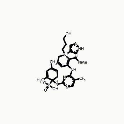 CNC(=O)C1=C(Nc2nc(NC3(P(=O)([O-])O)CC=C(C)C=C3C)ncc2C(F)(F)F)C=CC[N+]1(CCCO)c1cn[nH]c1